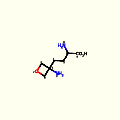 NC(CCC1(N)COC1)C(=O)O